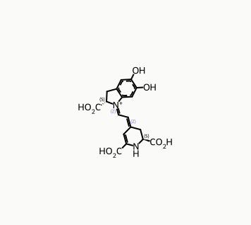 O=C(O)C1=C/C(=C\C=[N+]2/c3cc(O)c(O)cc3C[C@H]2C(=O)O)C[C@@H](C(=O)O)N1